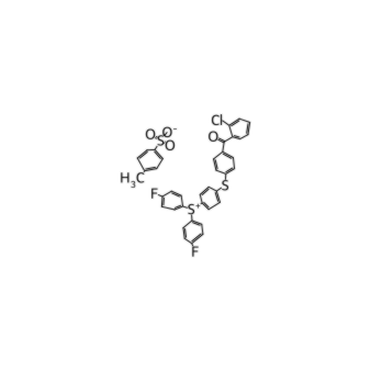 Cc1ccc(S(=O)(=O)[O-])cc1.O=C(c1ccc(Sc2ccc([S+](c3ccc(F)cc3)c3ccc(F)cc3)cc2)cc1)c1ccccc1Cl